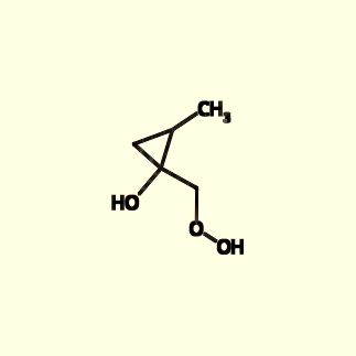 CC1CC1(O)COO